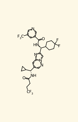 O=C(CCC(F)(F)F)N[C@@H](c1cnn2cc([C@@H](NC(=O)c3cncc(C(F)(F)F)c3)C3CCC(F)(F)CC3)nc2c1)C1CC1